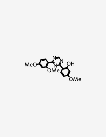 COc1ccc(-c2ncnc(-c3ccc(OC)cc3OC)n2)c(O)c1